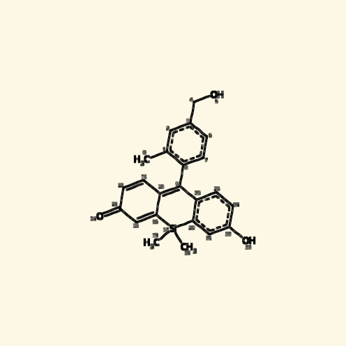 Cc1cc(CO)ccc1C1=C2C=CC(=O)C=C2[Si](C)(C)c2cc(O)ccc21